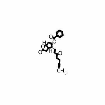 CC#CCCC(=O)C=C[C@@H]1[C@H]2CC(=O)O[C@H]2C[C@H]1OC(=O)c1ccccc1